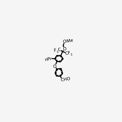 CCCc1cc(C(OCOC)(C(F)(F)F)C(F)(F)F)ccc1Oc1ccc(C=O)cc1